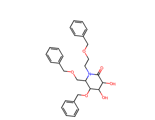 O=C1C(O)C(O)C(OCc2ccccc2)C(COCc2ccccc2)N1CCOCc1ccccc1